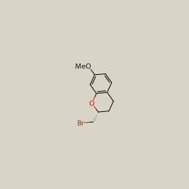 COc1ccc2c(c1)O[C@@H](CBr)CC2